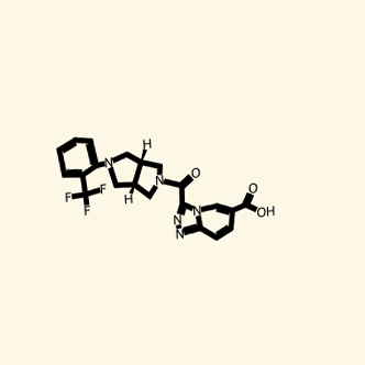 O=C(O)c1ccc2nnc(C(=O)N3C[C@@H]4CN(c5ccccc5C(F)(F)F)C[C@@H]4C3)n2c1